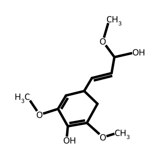 COC1=CC(/C=C/C(O)OC)CC(OC)=C1O